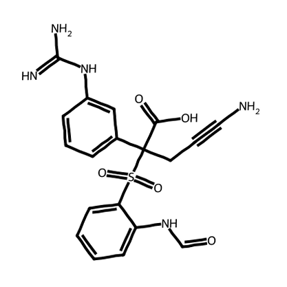 N=C(N)Nc1cccc(C(CC#CN)(C(=O)O)S(=O)(=O)c2ccccc2NC=O)c1